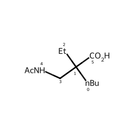 CCCCC(CC)(CNC(C)=O)C(=O)O